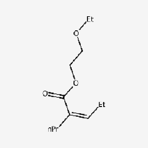 CCC=C(CCC)C(=O)OCCOCC